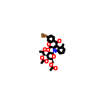 CC(=O)C[C@@H]1[C@@H](OC(C)=O)[C@H](n2cc(C(=O)c3ccc(Br)cc3)c3c(C)cccc32)O[C@H](COC(C)=O)[C@H]1OC(C)=O